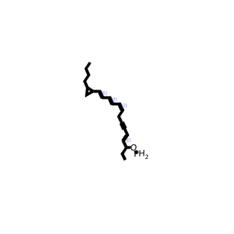 CCCCC1CC1/C=C/C=C/C=C\CC#C/C=C/C(CC)OP